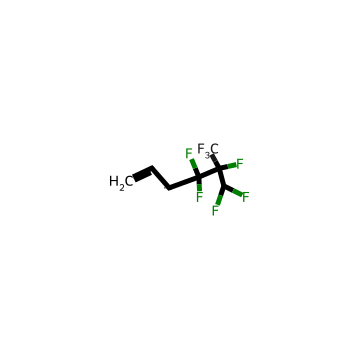 C=C[CH]C(F)(F)C(F)(C(F)F)C(F)(F)F